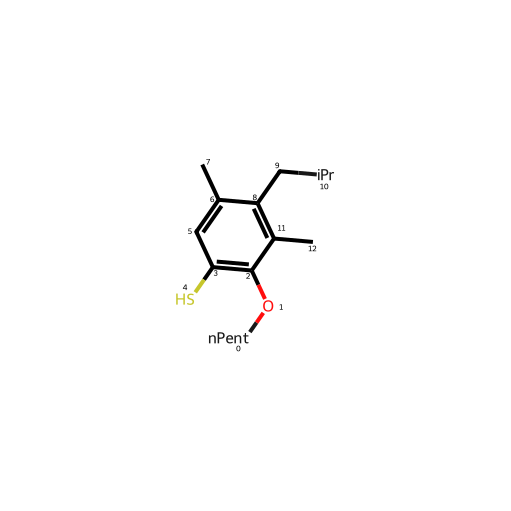 CCCCCOc1c(S)cc(C)c(CC(C)C)c1C